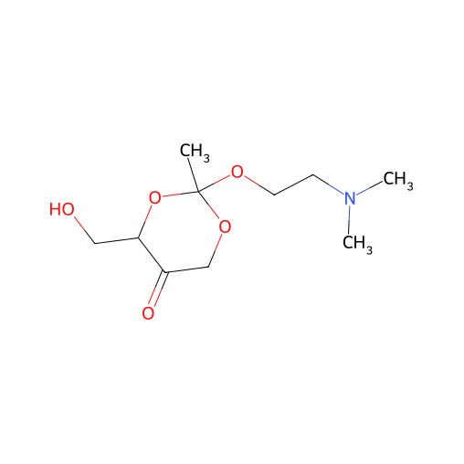 CN(C)CCOC1(C)OCC(=O)C(CO)O1